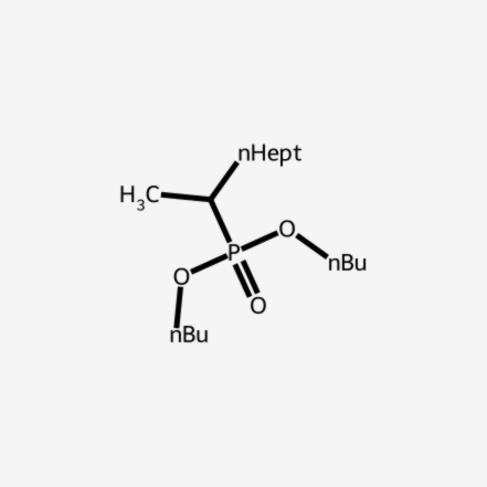 CCCCCCCC(C)P(=O)(OCCCC)OCCCC